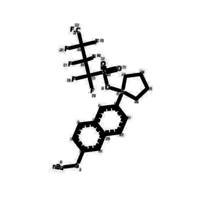 CCCCSc1ccc2cc(S3(OS(=O)(=O)C(F)(F)C(F)(F)C(F)(F)C(F)(F)F)CCCC3)ccc2c1